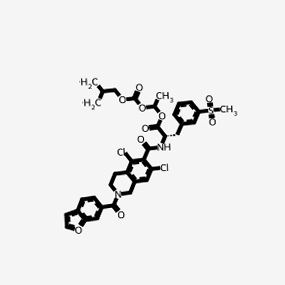 [CH2]C([CH2])COC(=O)OC(C)OC(=O)[C@H](Cc1cccc(S(C)(=O)=O)c1)NC(=O)c1c(Cl)cc2c(c1Cl)CCN(C(=O)c1ccc3ccoc3c1)C2